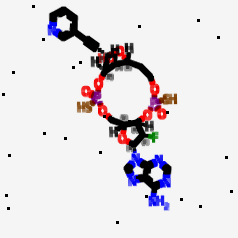 Nc1ncnc2c1ncn2[C@@H]1O[C@@H]2COP(=O)(S)O[C@@H]3[C@H](O)[C@@H](CCOP(=O)(S)O[C@H]2[C@H]1F)O[C@H]3C#Cc1cccnc1